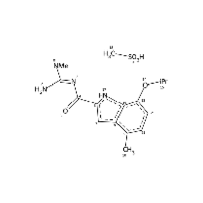 CNC(N)=NC(=O)c1cc2c(C)ccc(OC(C)C)c2[nH]1.CS(=O)(=O)O